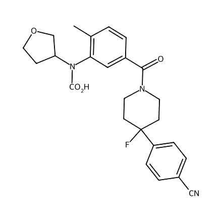 Cc1ccc(C(=O)N2CCC(F)(c3ccc(C#N)cc3)CC2)cc1N(C(=O)O)C1CCOC1